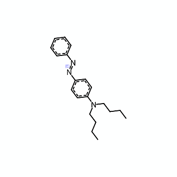 CCCCN(CCCC)c1ccc(/N=N/c2ccccc2)cc1